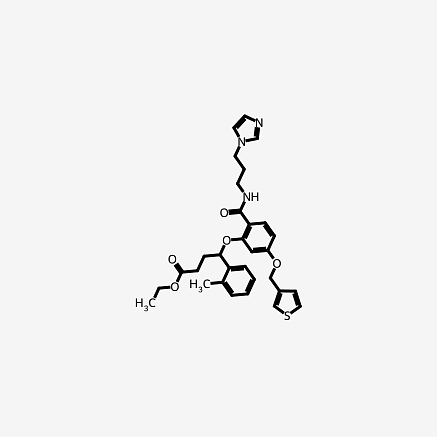 CCOC(=O)CCC(Oc1cc(OCc2ccsc2)ccc1C(=O)NCCCn1ccnc1)c1ccccc1C